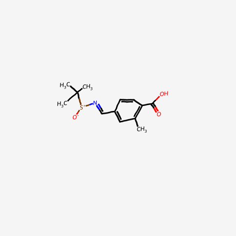 Cc1cc(C=N[S+]([O-])C(C)(C)C)ccc1C(=O)O